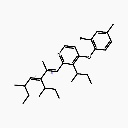 CCC(C)/C=C(/C(C)=C/c1nccc(Oc2ccc(C)cc2F)c1C(C)CC)C(C)CC